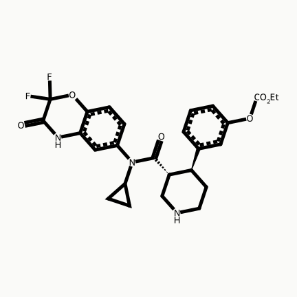 CCOC(=O)Oc1cccc([C@H]2CCNC[C@@H]2C(=O)N(c2ccc3c(c2)NC(=O)C(F)(F)O3)C2CC2)c1